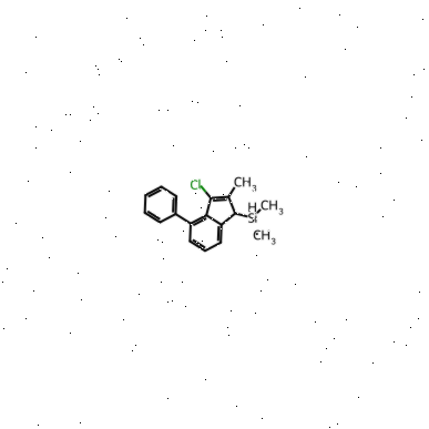 CC1=C(Cl)c2c(-c3ccccc3)cccc2C1[SiH](C)C